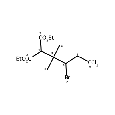 CCOC(=O)C(C(=O)OCC)C(C)(C)C(Br)CC(Cl)(Cl)Cl